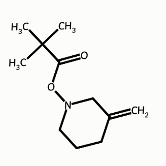 C=C1CCCN(OC(=O)C(C)(C)C)C1